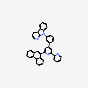 c1ccc(-c2cc(-c3cccc(-n4c5ccccc5c5cccnc54)c3)cc(-c3cc4ccccc4c4ccccc34)n2)nc1